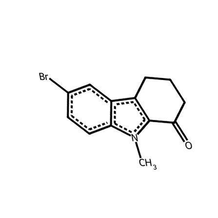 Cn1c2c(c3cc(Br)ccc31)CCCC2=O